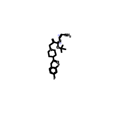 C=C(CN1CCC(C(=O)Cc2ccc(F)cc2F)CC1)/C(=N\C=C/N)OC(C)(C)C